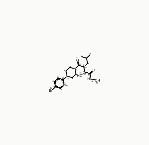 CC(C)C[C@H](C(=O)N1CCN(c2ccc(Br)cn2)CC1)[C@@H](O)C(=O)NO